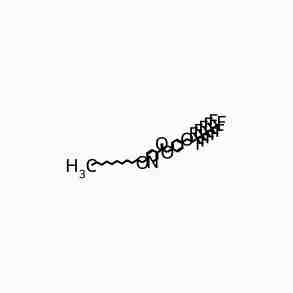 CCCCCCCCCCOc1ccc(C(=O)Oc2ccc(OCC(F)(F)C(F)(F)C(F)(F)C(F)(F)C(F)(F)F)cc2)cn1